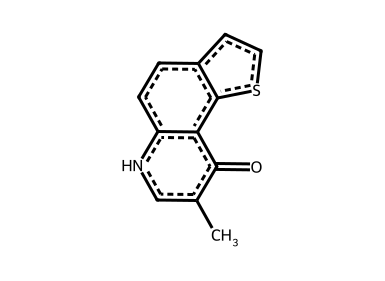 Cc1c[nH]c2ccc3ccsc3c2c1=O